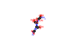 Nc1cc2c(O)c(/N=N/c3ccc(/N=N/c4ccc(/N=N/c5ccc6c(c5)C(=O)NC6=O)c5ccc(S(=O)(=O)O)cc45)c4ccc(S(=O)(=O)O)cc34)c(S(=O)(=O)O)cc2cc1S(=O)(=O)O